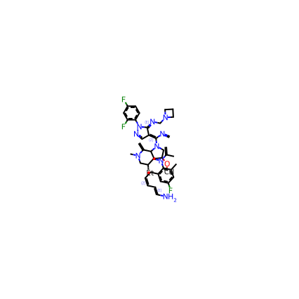 C=N/C(=C1/C=NN(c2ccc(F)cc2F)/C1=N/CN1CCC1)N1CC(OC#N)CC1C(=C)N(C)CC(CC)CN(C(=C)C)c1c(C)cc(F)cc1C/C=C\C=C\N